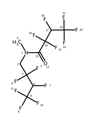 CN(CC(F)(F)C(F)C(F)(F)F)C(=O)C(F)(F)C(F)C(F)(F)F